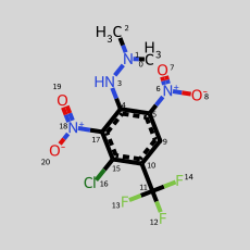 CN(C)Nc1c([N+](=O)[O-])cc(C(F)(F)F)c(Cl)c1[N+](=O)[O-]